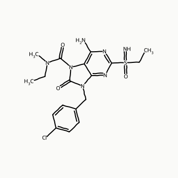 CCN(C)C(=O)n1c(=O)n(Cc2ccc(Cl)cc2)c2nc(S(=N)(=O)CC)nc(N)c21